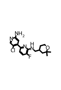 CC1(C)CC(CNc2nc(-c3cc(N)ncc3Cl)ccc2F)CCO1